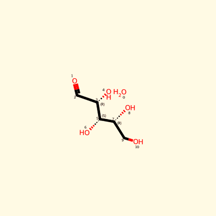 O.O=C[C@H](O)[C@@H](O)[C@H](O)CO